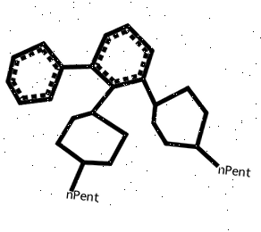 CCCCCC1CCC(c2cccc(-c3ccccc3)c2C2CCC(CCCCC)CC2)CC1